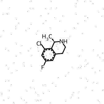 C[C@H]1NCCc2cc(F)cc(Cl)c21